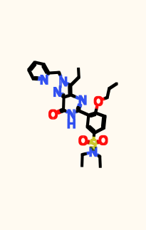 CCCOc1ccc(S(=O)(=O)N(CC)CC)cc1-c1nc2c(CC)n(Cc3ccccn3)nc2c(=O)[nH]1